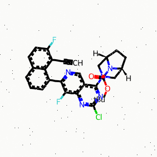 C#Cc1c(F)ccc2cccc(-c3ncc4c(N5C[C@H]6CC[C@@H](C5)N6C(=O)OC(C)(C)C)nc(Cl)nc4c3F)c12